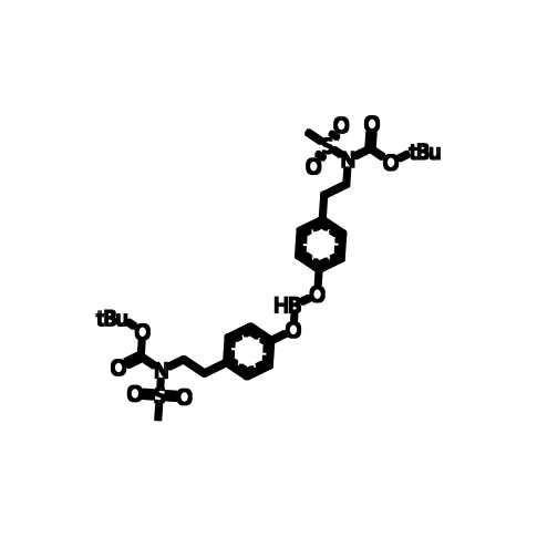 CC(C)(C)OC(=O)N(CCc1ccc(OBOc2ccc(CCN(C(=O)OC(C)(C)C)S(C)(=O)=O)cc2)cc1)S(C)(=O)=O